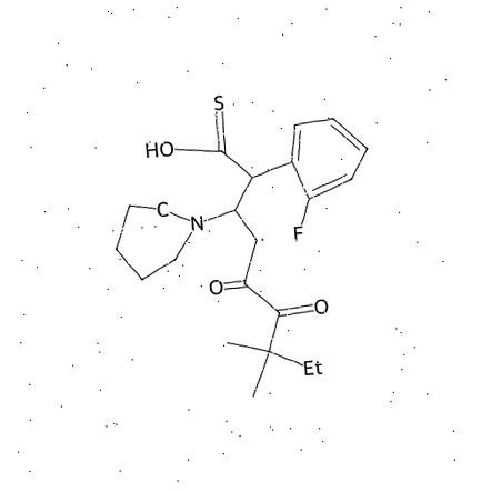 CCC(C)(C)C(=O)C(=O)[CH]C(C(C(O)=S)c1ccccc1F)N1CCCCC1